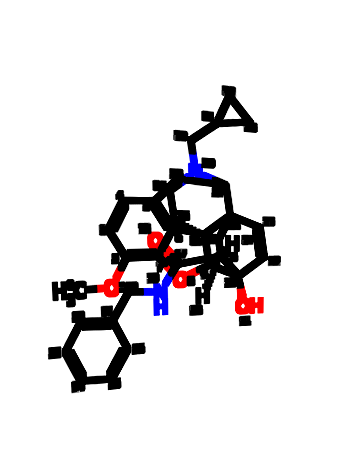 COc1ccc2c3c1O[C@H]1[C@@]4(O)C=CC5(C[C@@H]4C(=O)NCc4ccccc4)C(C2)N(CC2CC2)CC[C@@]315